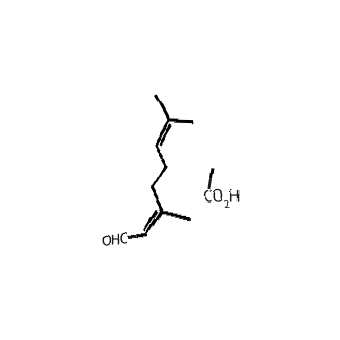 CC(=O)O.CC(C)=CCC/C(C)=C\C=O